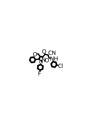 N#CC(C(=O)Nc1cccc(Cl)c1)C(=O)c1nn(-c2ccc(F)cc2)c2c1COc1ccccc1-2